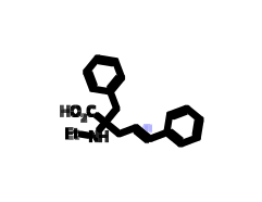 CCNC(C/C=C/c1ccccc1)(Cc1ccccc1)C(=O)O